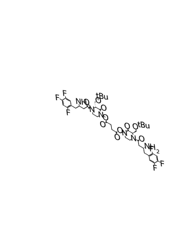 CC(C)(C)OC[C@@H]1C(=O)N(OC(=O)CCC(=O)ON2CCN(C(=O)C[C@H](N)Cc3cc(F)c(F)cc3F)[C@H](COC(C)(C)C)C2=O)CCN1C(=O)C[C@H](N)Cc1cc(F)c(F)cc1F